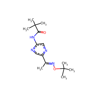 CC(=NOC(C)(C)C)c1cnc(NC(=O)C(C)(C)C)cn1